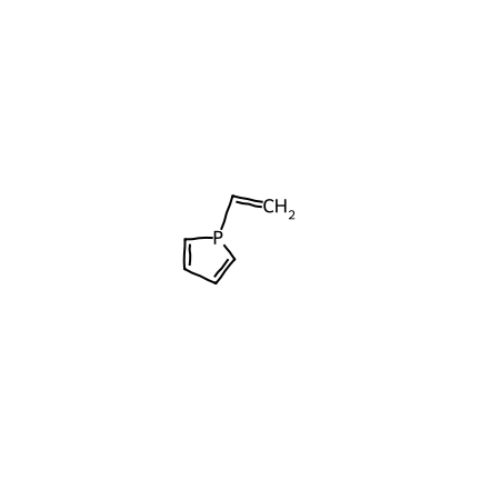 C=Cp1cccc1